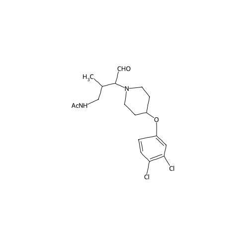 CC(=O)NCC(C)C(C=O)N1CCC(Oc2ccc(Cl)c(Cl)c2)CC1